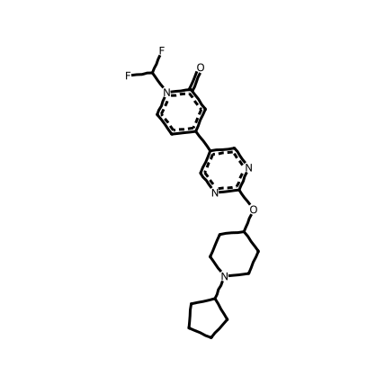 O=c1cc(-c2cnc(OC3CCN(C4CCCC4)CC3)nc2)ccn1C(F)F